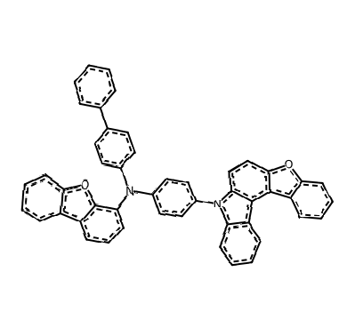 c1ccc(-c2ccc(N(c3ccc(-n4c5ccccc5c5c6c(ccc54)oc4ccccc46)cc3)c3cccc4c3oc3ccccc34)cc2)cc1